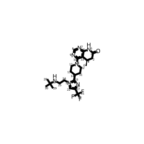 C[C@@H]1CC(=O)Nc2ncnc(N3CCC(c4nc(C(F)(F)F)cn4CCNC(C)(C)C)CC3)c21